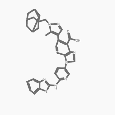 Cc1c(-c2cnc3c(ncn3-c3ccc(Nc4nc5ccccc5s4)nc3)c2C(=O)O)cnn1CC12CC3CC(CC(C3)C1)C2